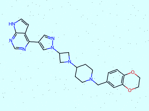 c1nc(-c2cnn(C3CN(C4CCN(Cc5ccc6c(c5)OCCO6)CC4)C3)c2)c2cc[nH]c2n1